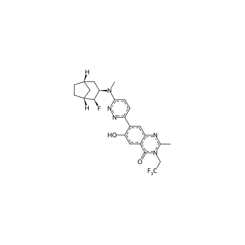 Cc1nc2cc(-c3ccc(N(C)[C@@H]4C[C@H]5CC[C@H](C5)[C@@H]4F)nn3)c(O)cc2c(=O)n1CC(F)(F)F